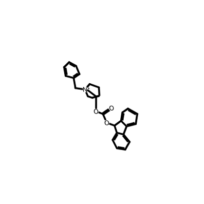 O=C(OC1c2ccccc2-c2ccccc21)OC1C[N+]2(Cc3ccccc3)CCC1CC2